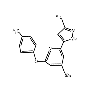 CC(C)(C)c1cc(Oc2ccc(C(F)(F)F)cc2)nc(-c2cc(C(F)(F)F)n[nH]2)c1